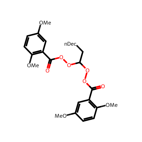 [CH2]CCCCCCCCCC[C](OOC(=O)c1cc(OC)ccc1OC)OOC(=O)c1cc(OC)ccc1OC